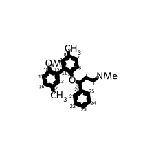 CNCCC(Oc1ccc(C)cc1-c1cc(C)ccc1OC)c1ccccc1